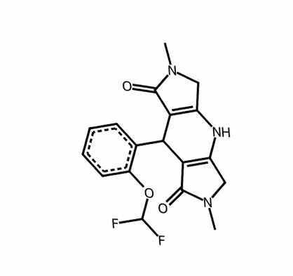 CN1CC2=C(C1=O)C(c1ccccc1OC(F)F)C1=C(CN(C)C1=O)N2